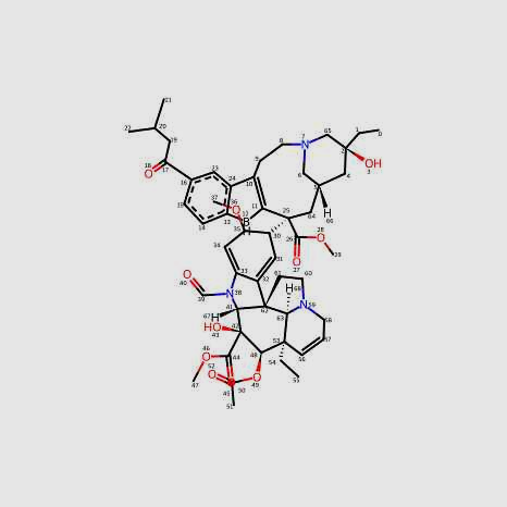 CC[C@]1(O)C[C@H]2CN(CCC3=C(Bc4ccc(C(=O)CC(C)C)cc43)[C@@](C(=O)OC)(C3C=C4C(=CC3OC)N(C=O)[C@H]3[C@@](O)(C(=O)OC)[C@H](OC(C)=O)[C@]5(CC)C=CCN6CC[C@]43[C@@H]65)C2)C1